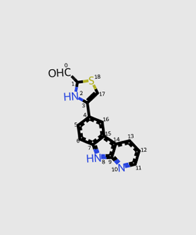 O=CC1NC(c2ccc3[nH]c4ncccc4c3c2)=CS1